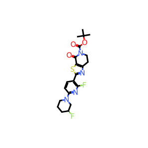 CC(C)(C)OC(=O)N1CCc2nc(-c3ccc(N4CCC[C@H](F)C4)nc3F)sc2C1=O